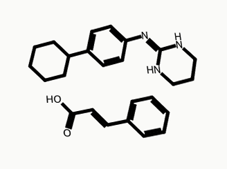 O=C(O)/C=C/c1ccccc1.c1cc(C2CCCCC2)ccc1N=C1NCCCN1